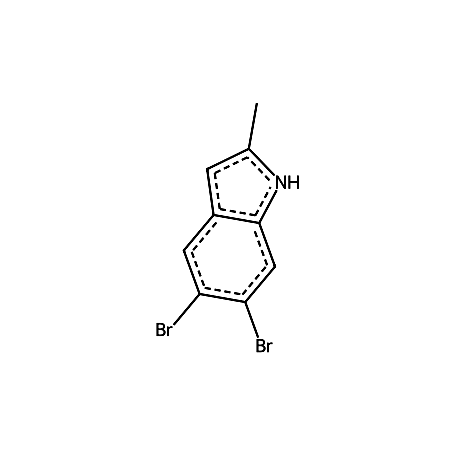 Cc1cc2cc(Br)c(Br)cc2[nH]1